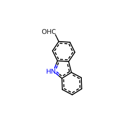 O=Cc1ccc2c(c1)[nH]c1ccccc12